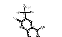 N#Cc1c(F)ccc2[nH]c(=O)c(C(F)(F)C(=O)O)cc12